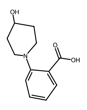 O=C(O)c1ccccc1N1CCC(O)CC1